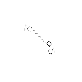 O=C1CCC(c2cccc(NCCCCCCCN3CCC(F)(F)CC3)c2)C(=O)N1